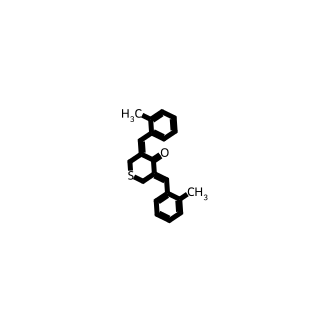 Cc1ccccc1C=C1CSCC(=Cc2ccccc2C)C1=O